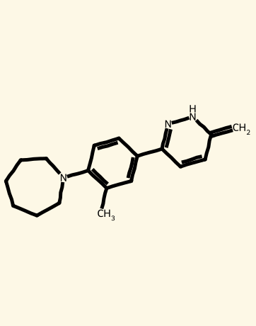 C=C1C=CC(c2ccc(N3CCCCCC3)c(C)c2)=NN1